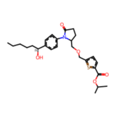 CCCCC[C@H](O)c1ccc(N2C(=O)CCC2COCc2ccc(C(=O)OC(C)C)s2)cc1